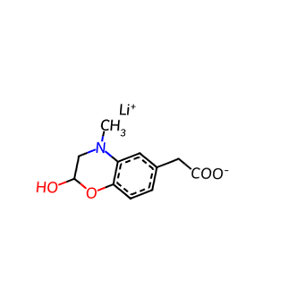 CN1CC(O)Oc2ccc(CC(=O)[O-])cc21.[Li+]